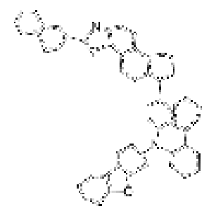 c1ccc(-c2ccccc2N(c2ccc(-c3cccc4c3ccc3c4ccc4nc(-c5ccc6ccccc6c5)sc43)cc2)c2ccc3c(c2)oc2ccccc23)cc1